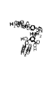 Cc1nccn1-c1ccccc1.Nc1cc(C(=O)O)cc(C(=O)O)c1.O.O.O.O.O.O.O=[N+]([O-])[O-].O=[N+]([O-])[O-].[Co+2]